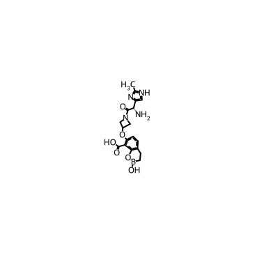 Cc1nc([C@H](N)C(=O)N2CC(Oc3ccc4c(c3C(=O)O)OB(O)CC4)C2)c[nH]1